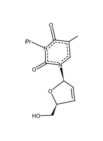 Cc1cn([C@H]2C=C[C@@H](CO)O2)c(=O)n(C(C)C)c1=O